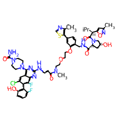 Cc1cc([C@@H](C(=O)N2C[C@H](O)C[C@H]2C(=O)NCc2ccc(-c3scnc3C)cc2OCCOCCN(C)C(=O)CCNc2nc(N3CCN(C(N)=O)CC3)c3cc(Cl)c(-c4c(O)cccc4F)c(F)c3n2)C(C)C)on1